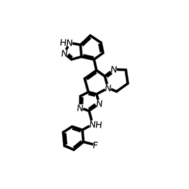 Fc1ccccc1Nc1ncc2c(n1)N1CCCN=C1C(c1cccc3[nH]ncc13)=C2